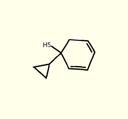 SC1(C2CC2)C=CC=CC1